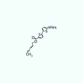 CC=CC=CCOC(=O)c1ccc(-c2ccc(CCCCCC)s2)s1